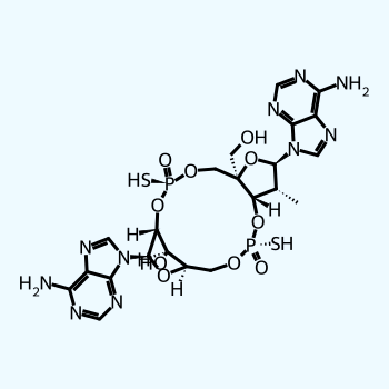 C[C@H]1[C@H](n2cnc3c(N)ncnc32)O[C@]2(CO)CO[P@](=O)(S)O[C@@H]3[C@H](O)[C@@H](CO[P@@](=O)(S)O[C@@H]12)O[C@H]3n1cnc2c(N)ncnc21